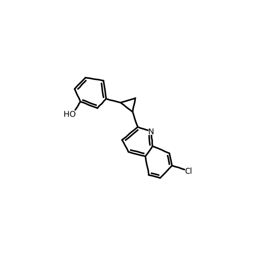 Oc1cccc(C2CC2c2ccc3ccc(Cl)cc3n2)c1